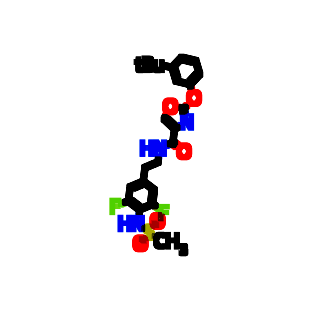 CC(C)(C)c1cccc(Oc2nc(C(=O)NCCc3cc(F)c(NS(C)(=O)=O)c(F)c3)co2)c1